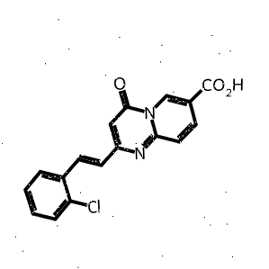 O=C(O)c1ccc2nc(C=Cc3ccccc3Cl)cc(=O)n2c1